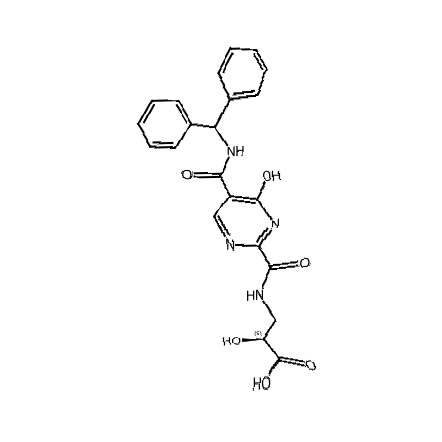 O=C(NC[C@H](O)C(=O)O)c1ncc(C(=O)NC(c2ccccc2)c2ccccc2)c(O)n1